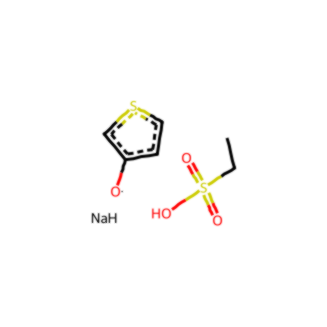 CCS(=O)(=O)O.[NaH].[O]c1ccsc1